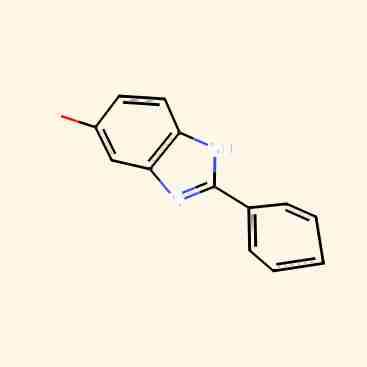 [O]c1ccc2[nH]c(-c3ccccc3)nc2c1